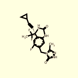 Cc1n[nH]c(=O)n1Cc1cc2c(cc1F)[C@@](C#CC1CC1)(C(C)(F)F)NC(=O)N2